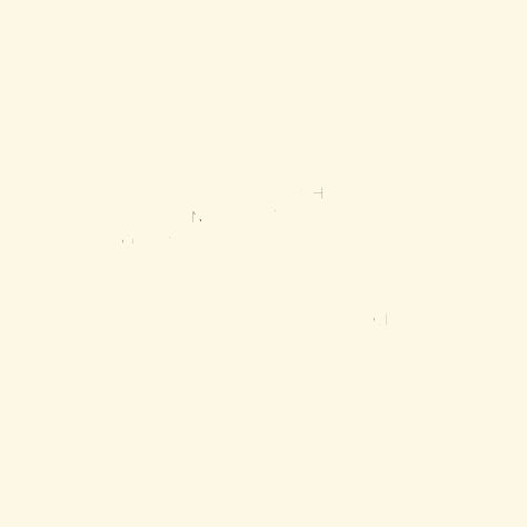 Cc1ccc([C@@]23SCCN2C(=O)c2ccccc23)c(C)c1